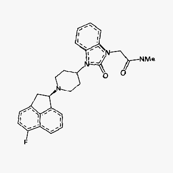 CNC(=O)Cn1c(=O)n(C2CCN([C@@H]3Cc4ccc(F)c5cccc3c45)CC2)c2ccccc21